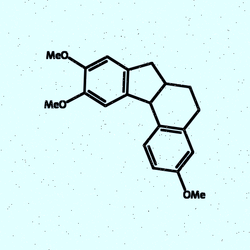 COc1ccc2c(c1)CCC1Cc3cc(OC)c(OC)cc3C21